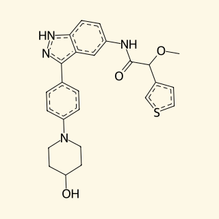 COC(C(=O)Nc1ccc2[nH]nc(-c3ccc(N4CCC(O)CC4)cc3)c2c1)c1ccsc1